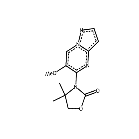 COc1cn2nccc2nc1N1C(=O)OCC1(C)C